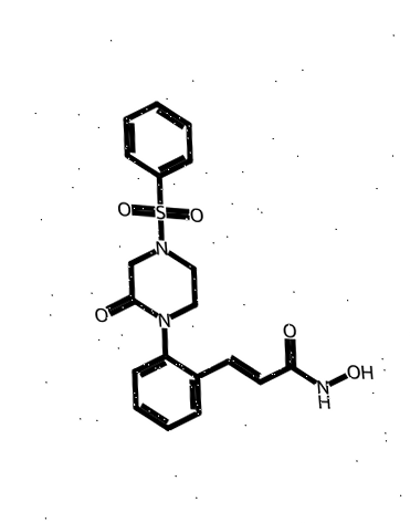 O=C(C=Cc1ccccc1N1CCN(S(=O)(=O)c2ccccc2)CC1=O)NO